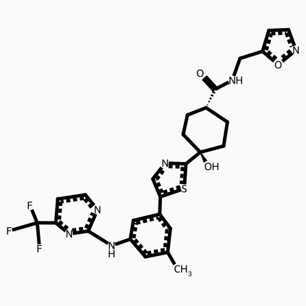 Cc1cc(Nc2nccc(C(F)(F)F)n2)cc(-c2cnc([C@]3(O)CC[C@H](C(=O)NCc4ccno4)CC3)s2)c1